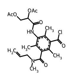 C=CCN(C)C(=O)c1c(C)c(NC(=O)C(COC(C)=O)OC(C)=O)c(C)c(C(=O)Cl)c1C